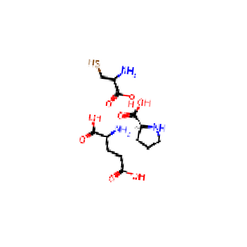 NC(CCC(=O)O)C(=O)O.NC(CS)C(=O)O.O=C(O)[C@@H]1CCCN1